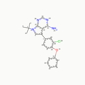 CC(C)(C)n1cc(-c2ccc(Oc3ccccc3)c(Cl)c2)c2c(N)ncnc21